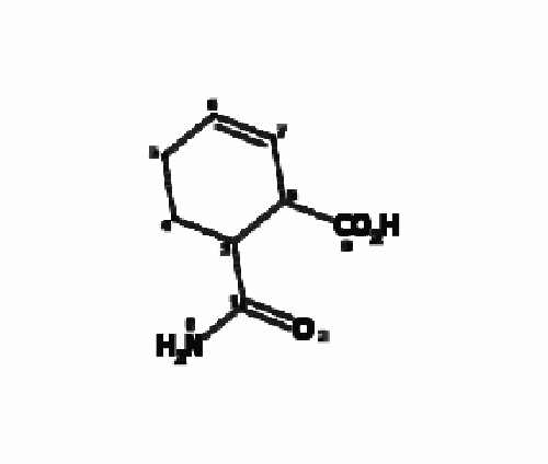 NC(=O)C1CCC=CC1C(=O)O